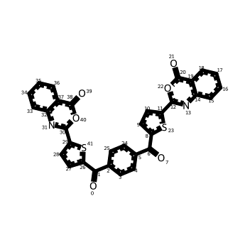 O=C(c1ccc(C(=O)c2ccc(-c3nc4ccccc4c(=O)o3)s2)cc1)c1ccc(-c2nc3ccccc3c(=O)o2)s1